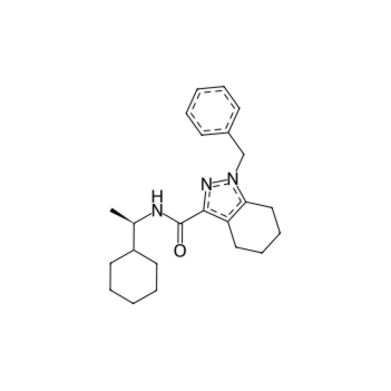 C[C@@H](NC(=O)c1nn(Cc2ccccc2)c2c1CCCC2)C1CCCCC1